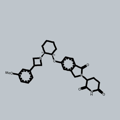 COc1cccc(C2CN([C@H]3CCCC[C@H]3Oc3ccc4c(c3)CN(C3CCC(=O)NC3=O)C4=O)C2)c1